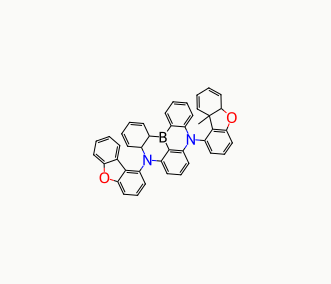 CC12C=CC=CC1Oc1cccc(N3c4ccccc4B4c5c3cccc5N(c3cccc5oc6ccccc6c35)C3C=CC=CC43)c12